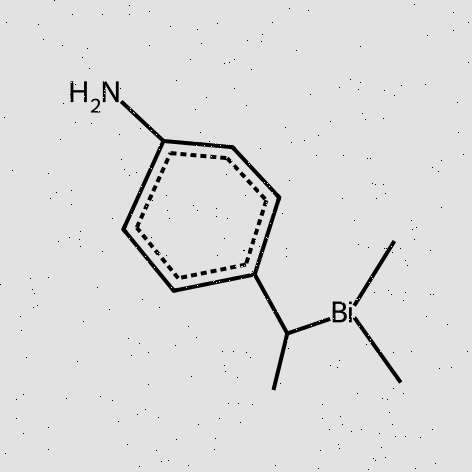 C[CH](c1ccc(N)cc1)[Bi]([CH3])[CH3]